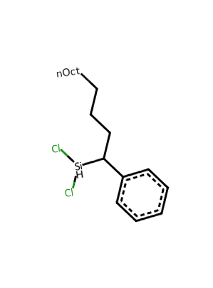 CCCCCCCCCCCC(c1ccccc1)[SiH](Cl)Cl